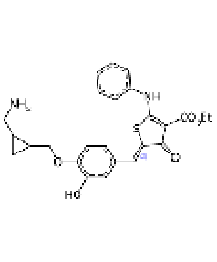 CCOC(=O)C1=C(Nc2ccccc2)S/C(=C\c2ccc(OCC3CC3CN)c(O)c2)C1=O